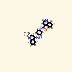 O=C(N[C@H]1CC[C@@H](Nc2cc(C(F)(F)F)nc3ccccc23)CC1)c1ccnc2ccccc12